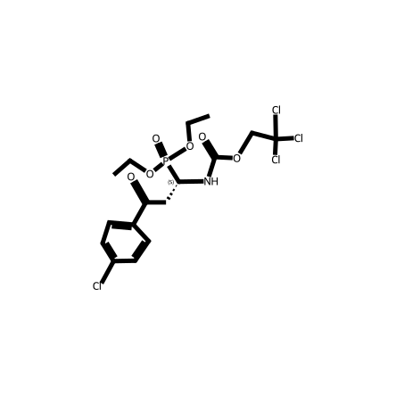 CCOP(=O)(OCC)[C@@H](CC(=O)c1ccc(Cl)cc1)NC(=O)OCC(Cl)(Cl)Cl